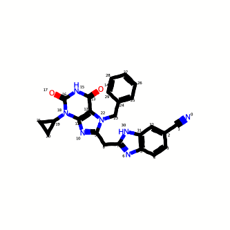 N#Cc1ccc2nc(Cc3nc4c(c(=O)[nH]c(=O)n4C4CC4)n3Cc3ccccc3)[nH]c2c1